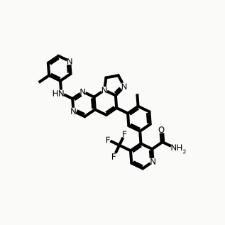 Cc1ccncc1Nc1ncc2c(n1)N1CCN=C1C(c1cc(-c3c(C(F)(F)F)ccnc3C(N)=O)ccc1C)=C2